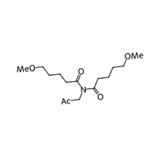 COCCCCC(=O)N(CC(C)=O)C(=O)CCCCOC